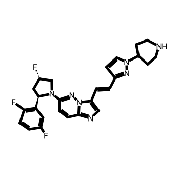 Fc1ccc(F)c([C@H]2C[C@H](F)CN2c2ccc3ncc(/C=C/c4ccn(C5CCNCC5)n4)n3n2)c1